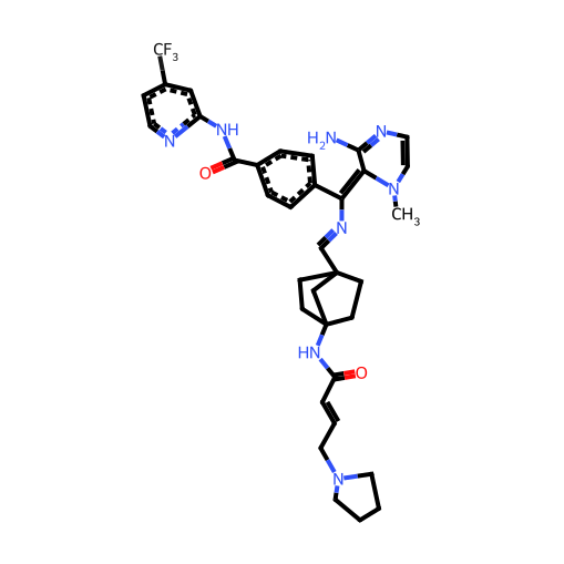 CN1C=CN=C(N)/C1=C(/N=C/C12CCC(NC(=O)/C=C/CN3CCCC3)(CC1)C2)c1ccc(C(=O)Nc2cc(C(F)(F)F)ccn2)cc1